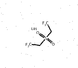 O=S(=O)(CC(F)(F)F)CC(F)(F)F.[LiH]